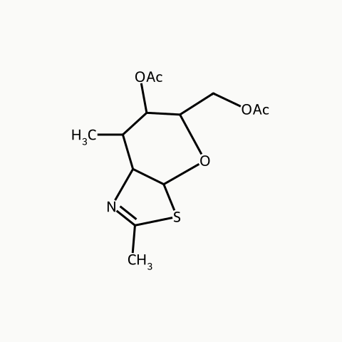 CC(=O)OCC1OC2SC(C)=NC2C(C)C1OC(C)=O